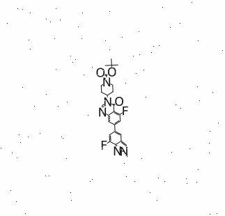 Cn1cc2cc(-c3cc(F)c4c(=O)n(C5CCN(C(=O)OC(C)(C)C)CC5)cnc4c3)cc(F)c2n1